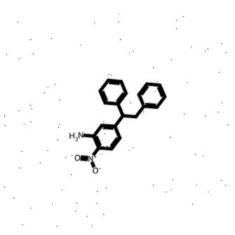 Nc1cc(C(Cc2ccccc2)c2ccccc2)ccc1[N+](=O)[O-]